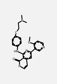 COc1ccncc1-c1cc2c(c(Nc3ccc(CCCN(C)C)cc3)n1)C(=O)[N]C=C2